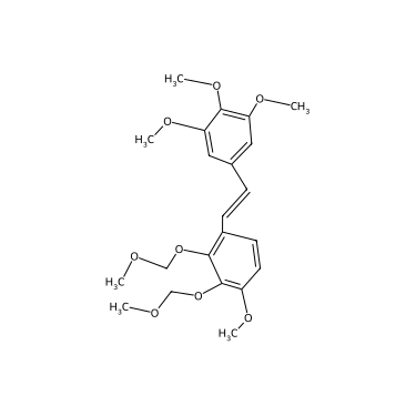 COCOc1c(C=Cc2cc(OC)c(OC)c(OC)c2)ccc(OC)c1OCOC